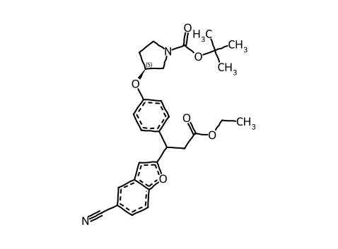 CCOC(=O)CC(c1ccc(O[C@H]2CCN(C(=O)OC(C)(C)C)C2)cc1)c1cc2cc(C#N)ccc2o1